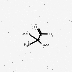 C=C(C)C([SiH3])(OC)OC